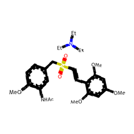 CCN(CC)CC.COc1cc(OC)c(C=CS(=O)(=O)Cc2ccc(OC)c(NC(C)=O)c2)c(OC)c1